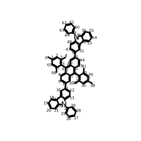 Cc1cc(C)c(-c2c3ccc(-c4ccc5c(c4)c4ccccc4n5-c4ccccc4)cc3c(-c3c(C)cc(C)cc3C)c3ccc(-c4ccc5c(c4)c4ccccc4n5-c4ccccc4)cc23)c(C)c1